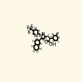 Cc1cccc(C(Cc2cc(-c3ccc4ccccc4c3)n(-c3ccc(C(F)(F)F)cn3)n2)C(=O)O)c1